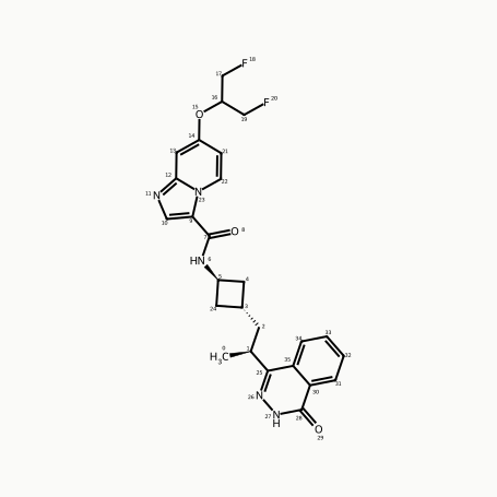 C[C@@H](C[C@H]1C[C@H](NC(=O)c2cnc3cc(OC(CF)CF)ccn23)C1)c1n[nH]c(=O)c2ccccc12